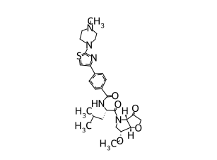 CO[C@@H]1CN(C(=O)[C@H](CC(C)C)NC(=O)c2ccc(-c3csc(N4CCN(C)CC4)n3)cc2)[C@@H]2C(=O)CO[C@@H]21